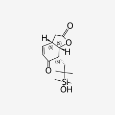 CC(C)(C[C@@H]1C(=O)C=C[C@@H]2CC(=O)O[C@@H]21)[Si](C)(C)O